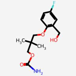 CC(C)(COC(N)=O)COc1ccc(F)cc1CO